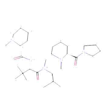 CC(C)[C@@H](CN1CCCC[C@H]1C(=O)N1CCCC1)N(C)C(=O)[C@@H](NC(=O)[C@H]1CCCCN1C)C(C)(C)C